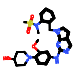 COc1cc(Nc2ncc3ccn(Cc4ccccc4N(C)S(C)(=O)=O)c3n2)ccc1N1CCC(O)CC1